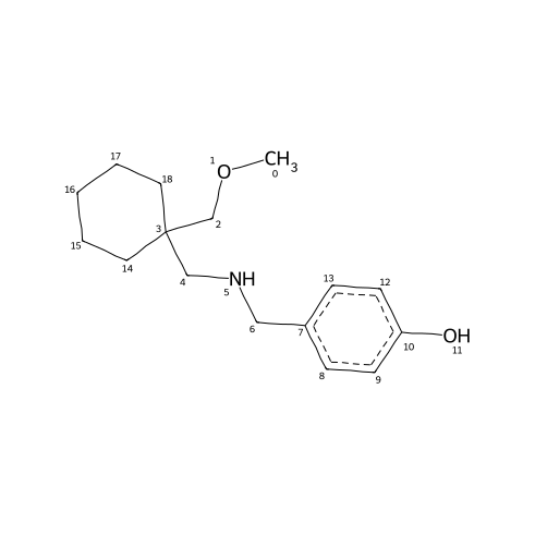 COCC1(CNCc2ccc(O)cc2)CCCCC1